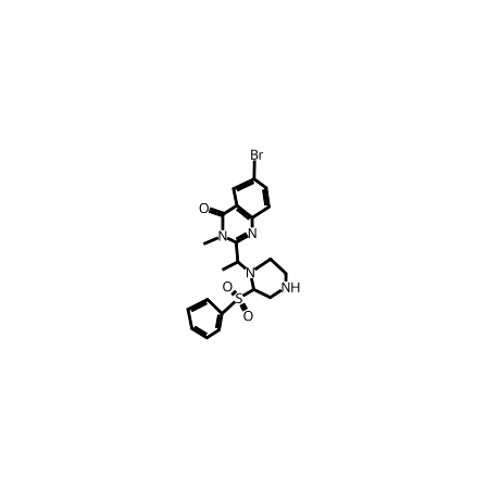 CC(c1nc2ccc(Br)cc2c(=O)n1C)N1CCNCC1S(=O)(=O)c1ccccc1